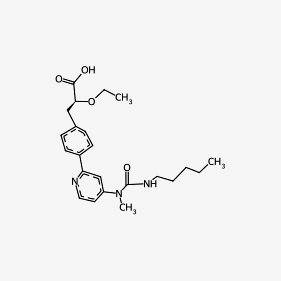 CCCCCNC(=O)N(C)c1ccnc(-c2ccc(C[C@H](OCC)C(=O)O)cc2)c1